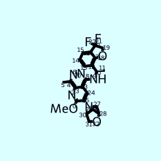 COc1nc2c(C)nnc(N[C@H](C)c3cccc4c3OCC4(F)F)c2cc1N1CC2CC1CO2